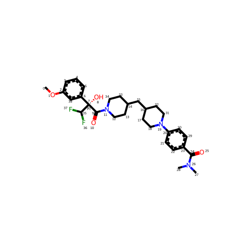 COc1cccc([C@@](O)(C(=O)N2CCC(CC3CCN(c4ccc(C(=O)N(C)C)cc4)CC3)CC2)C(F)F)c1